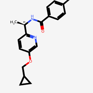 C[C@@H](NC(=O)c1ccc(C(C)(C)C)cc1)c1ccc(OCC2CC2)cn1